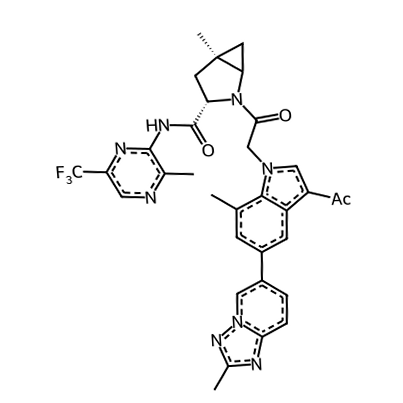 CC(=O)c1cn(CC(=O)N2C3C[C@]3(C)C[C@H]2C(=O)Nc2nc(C(F)(F)F)cnc2C)c2c(C)cc(-c3ccc4nc(C)nn4c3)cc12